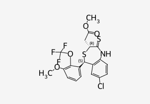 COC(=O)C[C@H]1S[C@H](c2cccc(OC)c2OC(F)(F)F)c2cc(Cl)ccc2NC1=S